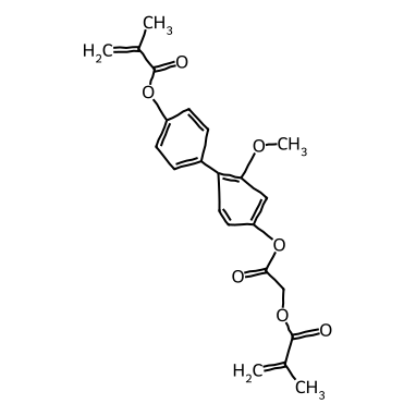 C=C(C)C(=O)OCC(=O)Oc1ccc(-c2ccc(OC(=O)C(=C)C)cc2)c(OC)c1